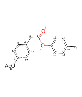 CC(=O)Oc1ccc(CC(=O)Oc2ccc(C)cc2)cc1